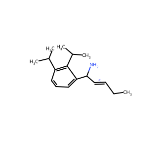 CC/C=C/C(N)c1cccc(C(C)C)c1C(C)C